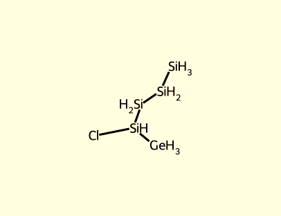 [SiH3][SiH2][SiH2][SiH](Cl)[GeH3]